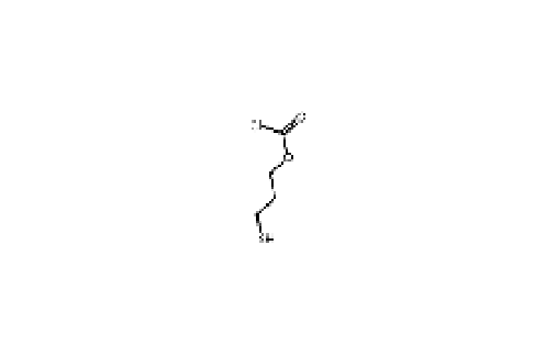 O=C(Cl)OCCCS